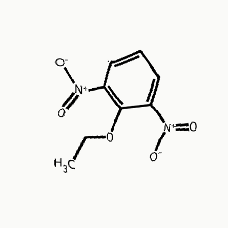 CCOc1c([N+](=O)[O-])[c]ccc1[N+](=O)[O-]